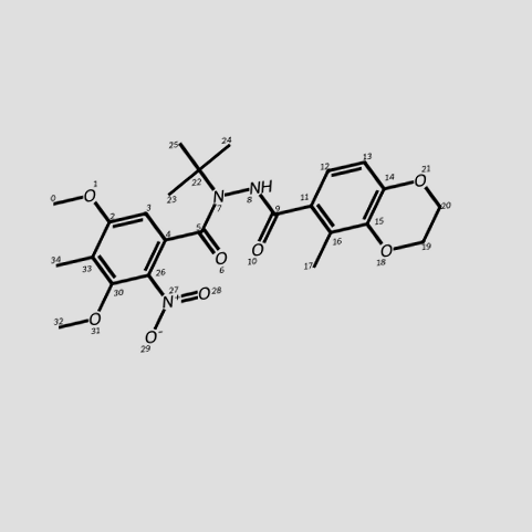 COc1cc(C(=O)N(NC(=O)c2ccc3c(c2C)OCCO3)C(C)(C)C)c([N+](=O)[O-])c(OC)c1C